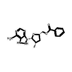 Nc1ncnc2c1NNN2[C@@H]1O[C@H](COC(=O)c2ccccc2)C[C@@H]1F